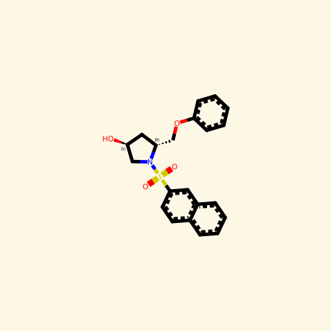 O=S(=O)(c1ccc2ccccc2c1)N1C[C@@H](O)C[C@@H]1COc1ccccc1